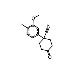 COc1cc(C2(C#N)CCC(=O)CC2)ccc1C